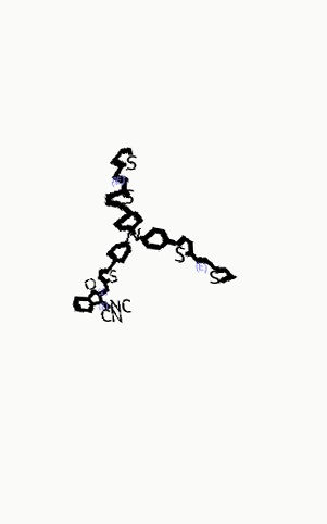 [C-]#[N+]/C(C#N)=C1\C(=C\c2ccc(-c3ccc(N(c4ccc(-c5ccc(/C=C/c6cccs6)s5)cc4)c4ccc(-c5ccc(/C=C/c6cccs6)s5)cc4)cc3)s2)C(=O)c2ccccc21